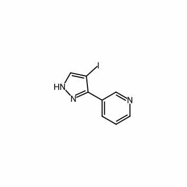 Ic1c[nH]nc1-c1cccnc1